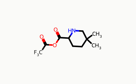 CC1(C)CCC(C(=O)OC(=O)C(F)(F)F)NC1